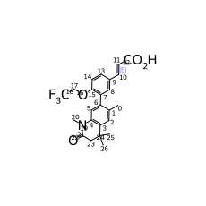 Cc1cc2c(cc1-c1cc(/C=C/C(=O)O)ccc1OCC(F)(F)F)N(C)C(=O)CC2(C)C